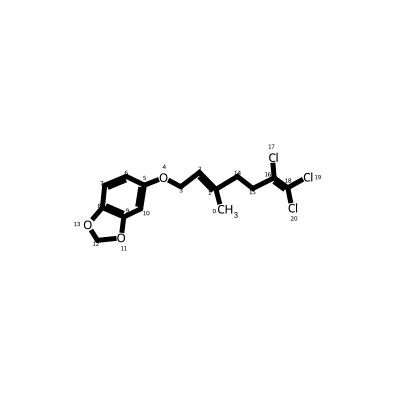 C/C(=C\COc1ccc2c(c1)OCO2)CCC(Cl)=C(Cl)Cl